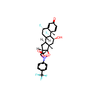 C[C@]12C=CC(=O)C=C1[C@@H](F)C[C@H]1[C@@H]3C[C@H]4CN(c5ccc(C(F)(F)F)cc5)O[C@@]4(C(=O)O)[C@@]3(C)C[C@H](O)[C@@]12F